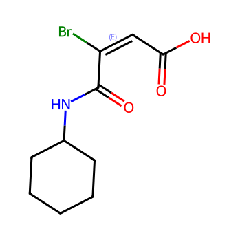 O=C(O)/C=C(/Br)C(=O)NC1CCCCC1